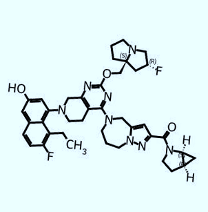 CCc1c(F)ccc2cc(O)cc(N3CCc4c(nc(OC[C@@]56CCCN5C[C@H](F)C6)nc4N4CCCn5nc(C(=O)N6CC[C@@H]7C[C@@H]76)cc5C4)C3)c12